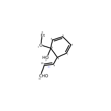 CCOC1(O)C=CC=CC1/C=C/C=O